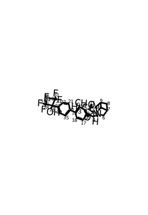 Cc1cc(CN2CC3CC(C2)C3NS(C)(=O)=O)ccc1-c1ccc(C(O)(C(F)(F)F)C(F)(F)F)cc1